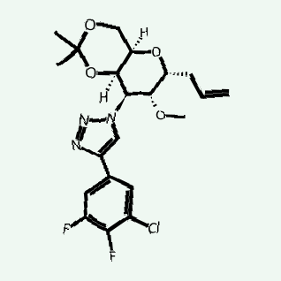 C=CC[C@H]1O[C@@H]2COC(C)(C)O[C@@H]2[C@H](n2cc(-c3cc(F)c(F)c(Cl)c3)nn2)[C@H]1OC